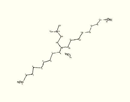 CCCCCCCCCCCCCCCCCCC(CCCCCCCCCCCCCCCCCC)CCN(C)C.Cl